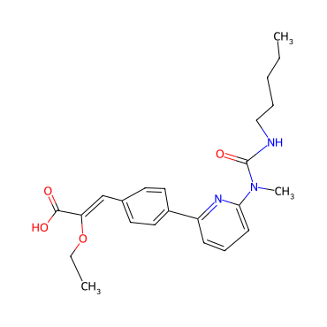 CCCCCNC(=O)N(C)c1cccc(-c2ccc(/C=C(\OCC)C(=O)O)cc2)n1